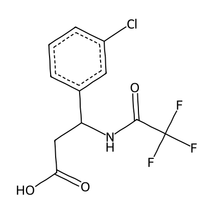 O=C(O)CC(NC(=O)C(F)(F)F)c1cccc(Cl)c1